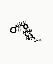 CC(C)OCC(O)Cn1c(=O)cnn(-c2ccc(Cl)c(C(=O)NC(O)C3CCCCCC3)c2)c1=O